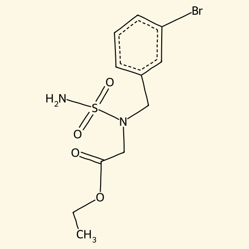 CCOC(=O)CN(Cc1cccc(Br)c1)S(N)(=O)=O